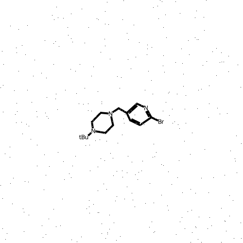 CC(C)(C)N1CCN(Cc2ccc(Br)nc2)CC1